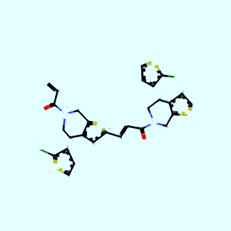 C=CC(=O)N1Cc2sc(/C=C/C(=O)N3Cc4sccc4[C@@H](c4ccsc4Cl)C3)cc2[C@H](c2ccsc2Cl)C1